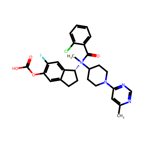 Cc1cc(N2CCC([N+](C)(C(=O)c3ccccc3Cl)[C@@H]3CCc4cc(OC(=O)O)c(F)cc43)CC2)ncn1